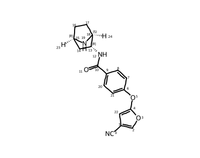 N#Cc1coc(Oc2ccc(C(=O)N[C@@H]3C[C@H]4CC[C@@H]3N4)cc2)c1